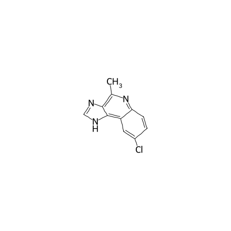 Cc1nc2ccc(Cl)cc2c2[nH]cnc12